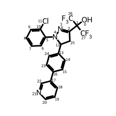 OC(C1=NN(c2ccccc2Cl)C(c2ccc(-c3cccnc3)cc2)C1)(C(F)(F)F)C(F)(F)F